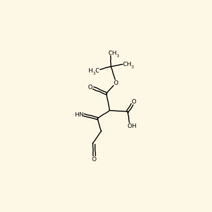 CC(C)(C)OC(=O)C(C(=N)CC=O)C(=O)O